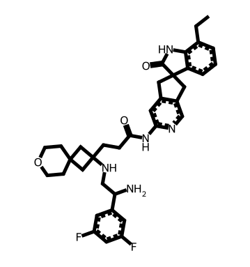 CCc1cccc2c1NC(=O)C21Cc2cnc(NC(=O)CCC3(NCC(N)c4cc(F)cc(F)c4)CC4(CCOCC4)C3)cc2C1